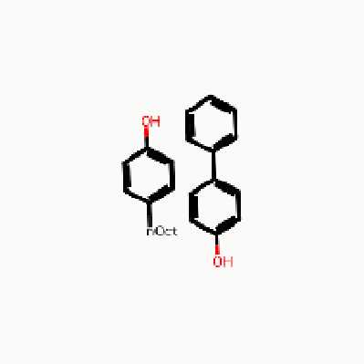 CCCCCCCCc1ccc(O)cc1.Oc1ccc(-c2ccccc2)cc1